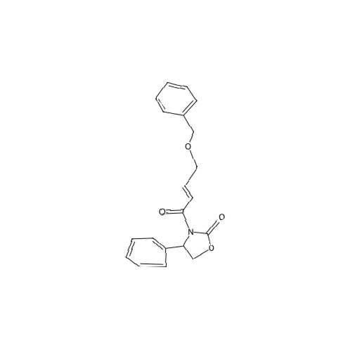 O=C(C=CCOCc1ccccc1)N1C(=O)OCC1c1ccccc1